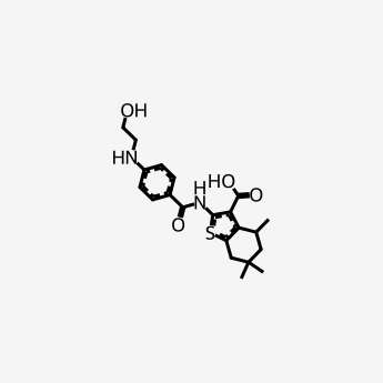 CC1CC(C)(C)Cc2sc(NC(=O)c3ccc(NCCO)cc3)c(C(=O)O)c21